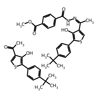 CC(=O)c1csc(-c2ccc(C(C)(C)C)cc2)c1O.COC(=O)c1ccc(C(=O)NN=C(C)c2csc(-c3ccc(C(C)(C)C)cc3)c2O)cc1